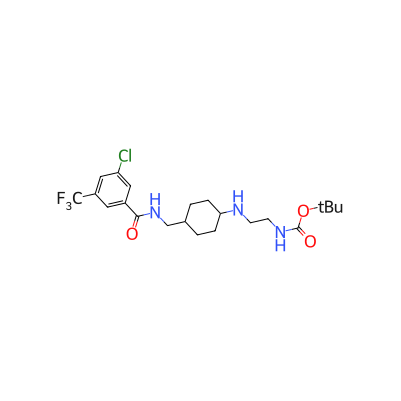 CC(C)(C)OC(=O)NCCNC1CCC(CNC(=O)c2cc(Cl)cc(C(F)(F)F)c2)CC1